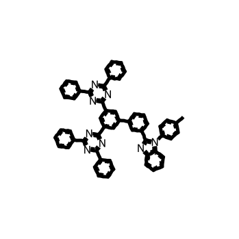 Cc1ccc(-n2c(-c3cccc(-c4cc(-c5nc(-c6ccccc6)nc(-c6ccccc6)n5)cc(-c5nc(-c6ccccc6)nc(-c6ccccc6)n5)c4)c3)nc3ccccc32)cc1